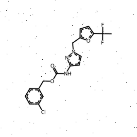 CC(F)(F)c1ccc(Cn2ccc(NC(=O)OCc3cccc(Cl)c3)n2)o1